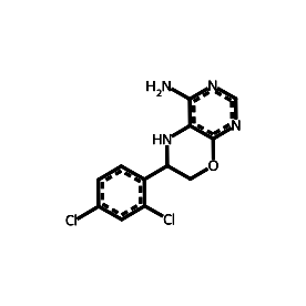 Nc1ncnc2c1NC(c1ccc(Cl)cc1Cl)CO2